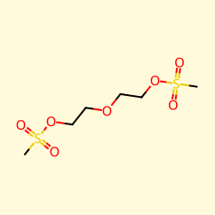 CS(=O)(=O)OCCOCCOS(C)(=O)=O